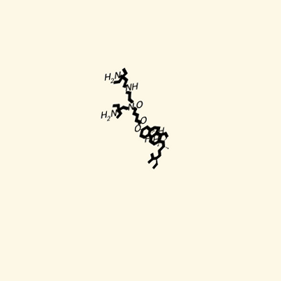 CC[C@H](CC[C@@H](C)[C@H]1CC[C@H]2[C@@H]3CC=C4C[C@@H](OC(=O)CCCC(=O)N(CCCCNCCC(N)(CC)CC)CCC(N)(CC)CC)CC[C@]4(C)[C@H]3CC[C@]12C)C(C)C